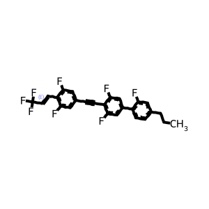 CCCc1ccc(-c2cc(F)c(C#Cc3cc(F)c(/C=C/C(F)(F)F)c(F)c3)c(F)c2)c(F)c1